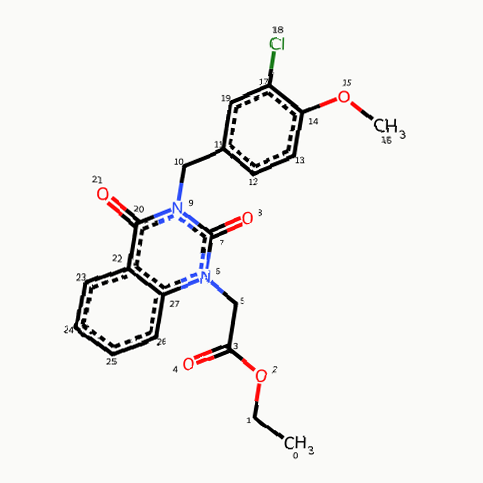 CCOC(=O)Cn1c(=O)n(Cc2ccc(OC)c(Cl)c2)c(=O)c2ccccc21